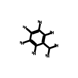 [2H]c1c([2H])c([2H])c(C([2H])[2H])c([2H])c1[2H]